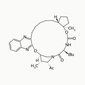 CC(=O)[C@@H]1[C@H](C)[C@@H]2CN1C(=O)[C@H](C(C)(C)C)NC(=O)O[C@]1(C)CCC[C@H]1CCCCCc1nc3ccccc3nc1O2